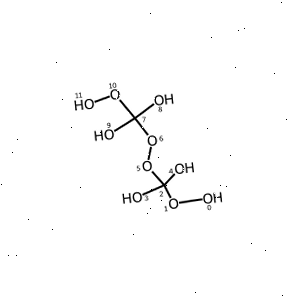 OOC(O)(O)OOC(O)(O)OO